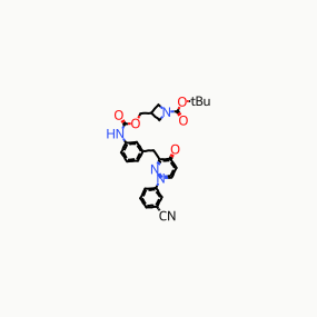 CC(C)(C)OC(=O)N1CC(COC(=O)Nc2cccc(Cc3nn(-c4cccc(C#N)c4)ccc3=O)c2)C1